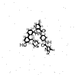 Cc1cc(C(=O)N[C@H]2CC[C@@H](NC(=O)c3cc(F)cnc3Oc3cccc(-c4ccc(O)cc4CN4CCSCC4)c3)CC2)nn1C